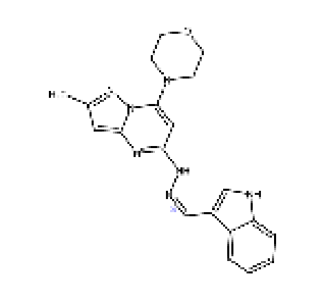 Cc1cc2nc(N/N=C\c3c[nH]c4ccccc34)cc(N3CCOCC3)n2n1